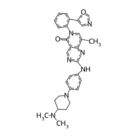 Cc1cn(-c2ccccc2-c2cnco2)c(=O)c2cnc(Nc3ccc(N4CCC(N(C)C)CC4)cc3)nc12